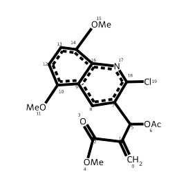 C=C(C(=O)OC)C(OC(C)=O)c1cc2c(OC)ccc(OC)c2nc1Cl